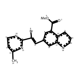 COC(=O)c1cc(C=C(Br)c2nccc(C)n2)cc2ncccc12